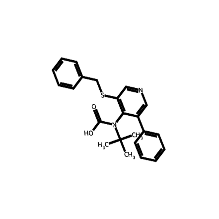 CC(C)(C)N(C(=O)O)c1c(SCc2ccccc2)cncc1-c1ccccc1